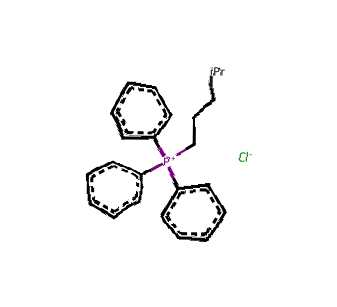 CC(C)CCC[P+](c1ccccc1)(c1ccccc1)c1ccccc1.[Cl-]